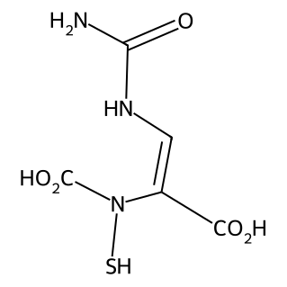 NC(=O)NC=C(C(=O)O)N(S)C(=O)O